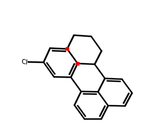 Clc1cccc(-c2cccc3cccc(C4CCCCC4)c23)c1